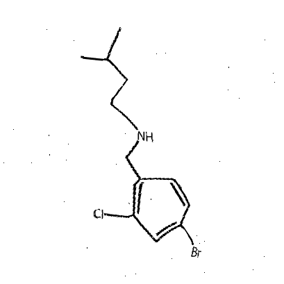 CC(C)CCNCc1ccc(Br)cc1Cl